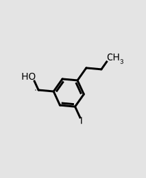 CCCc1cc(I)cc([CH]O)c1